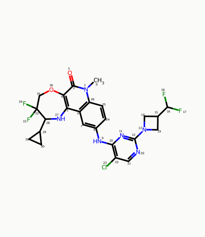 Cn1c(=O)c2c(c3cc(Nc4nc(N5CC(C(F)F)C5)ncc4Cl)ccc31)NC(C1CC1)C(F)(F)CO2